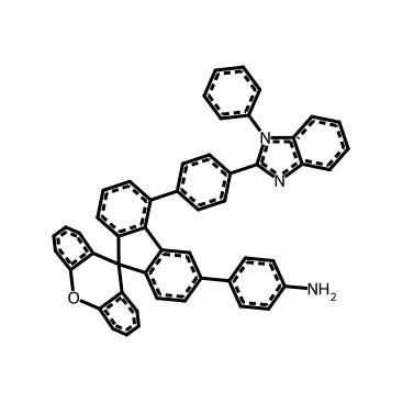 Nc1ccc(-c2ccc3c(c2)-c2c(-c4ccc(-c5nc6ccccc6n5-c5ccccc5)cc4)cccc2C32c3ccccc3Oc3ccccc32)cc1